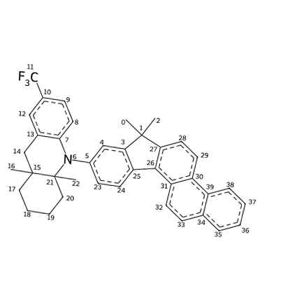 CC1(C)c2cc(N3c4ccc(C(F)(F)F)cc4CC4(C)CCCCC34C)ccc2-c2c1ccc1c2ccc2ccccc21